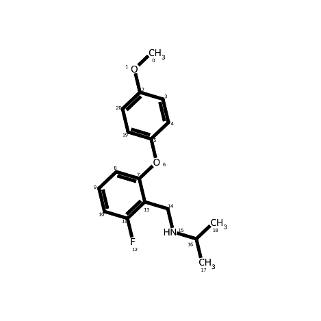 COc1ccc(Oc2cccc(F)c2CNC(C)C)cc1